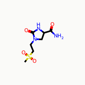 CS(=O)(=O)CCN1CC(C(N)=O)NC1=O